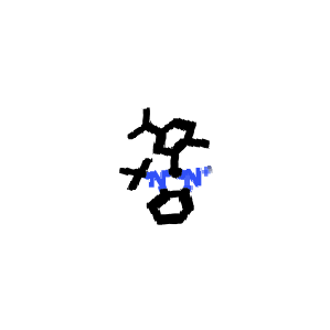 Cc1ccc(C(C)C)cc1-c1n(C(C)(C)C)c2ccccc2[n+]1C